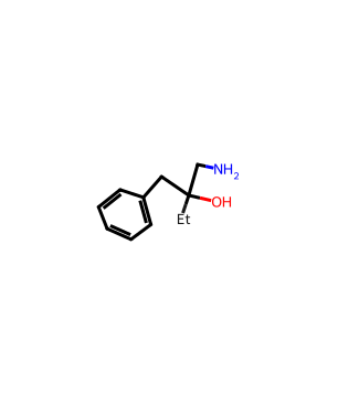 CCC(O)(CN)Cc1ccccc1